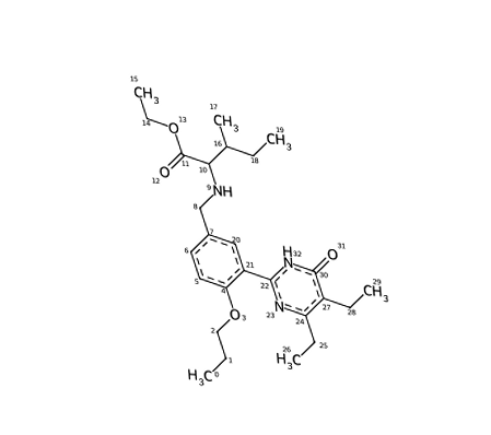 CCCOc1ccc(CNC(C(=O)OCC)C(C)CC)cc1-c1nc(CC)c(CC)c(=O)[nH]1